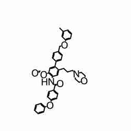 Cc1cccc(OCc2ccc(-c3cc(OC=O)c(NC(=O)c4ccc(Oc5ccccc5)cc4)cc3CCCN3CCOCC3)cc2)c1